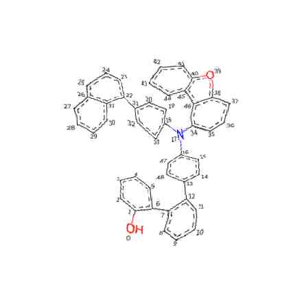 Oc1ccccc1-c1ccccc1-c1ccc(N(c2ccc(-c3cccc4ccccc34)cc2)c2cccc3oc4ccccc4c23)cc1